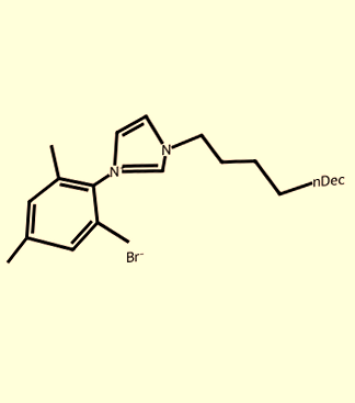 CCCCCCCCCCCCCCn1cc[n+](-c2c(C)cc(C)cc2C)c1.[Br-]